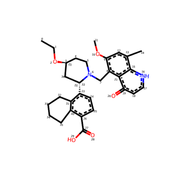 CCO[C@H]1CCN(Cc2c(OC)cc(C)c3[nH]ccc(=O)c23)[C@H](c2ccc(C(=O)O)c3c2CCCC3)C1